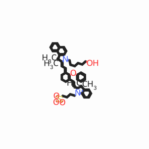 CC1(C)C(/C=C/C2=C(Oc3ccccc3)C(=C/C=C3\N(CCCCCCO)c4ccc5ccccc5c4C3(C)C)/CCC2)=[N+](CCCCS(=O)(=O)[O-])c2ccccc21